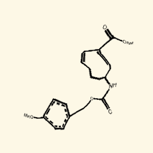 COC(=O)C1=CC(NC(=O)OCc2ccc(OC)cc2)CC=C1